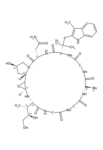 CC[C@H](C)[C@@H]1NC(=O)CNC(=O)CNC(=O)[C@H]([C@@H](C)[C@@H](O)CO)N[C@H]2OC2[C@@H]2C[C@@H](O)CN2C(=O)[C@H](CC(N)=O)NC(=O)[C@H](C(C)(C)Sc2[nH]c3ccccc3c2C)NC(=O)CNC1=O